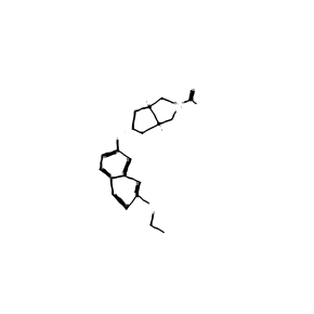 CCOc1ccc2ccc(O[C@@H]3C[C@@H]4CN(C(=O)O)C[C@@H]4C3)cc2c1